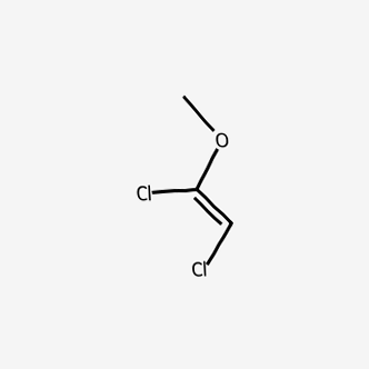 COC(Cl)=CCl